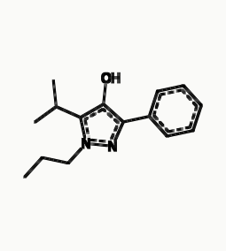 CCCn1nc(-c2ccccc2)c(O)c1C(C)C